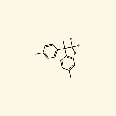 Cc1ccc(C(C)(c2ccc(C)cc2)C(F)(F)F)cc1